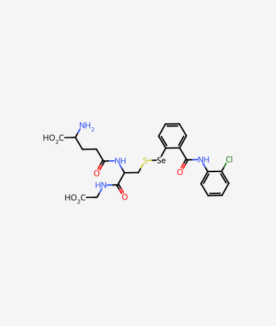 NC(CCC(=O)NC(CS[Se]c1ccccc1C(=O)Nc1ccccc1Cl)C(=O)NCC(=O)O)C(=O)O